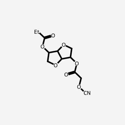 CCC(=O)OC1COC2C(OC(=O)COC#N)COC12